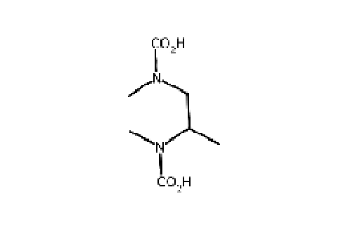 CC(CN(C)C(=O)O)N(C)C(=O)O